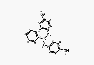 Oc1ccc(OP(Oc2ccc(O)cc2)c2ccccc2)cc1